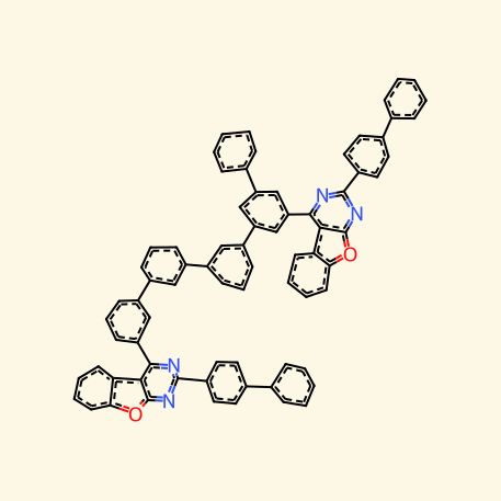 c1ccc(-c2ccc(-c3nc(-c4cccc(-c5cccc(-c6cccc(-c7cc(-c8ccccc8)cc(-c8nc(-c9ccc(-c%10ccccc%10)cc9)nc9oc%10ccccc%10c89)c7)c6)c5)c4)c4c(n3)oc3ccccc34)cc2)cc1